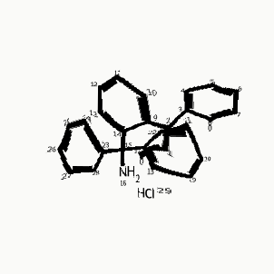 C=CC(c1ccccc1)c1ccccc1C(N)(c1ccccc1)c1ccccc1.Cl